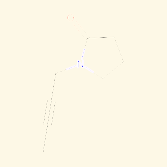 [CH2]C#CCN1CCCC1=O